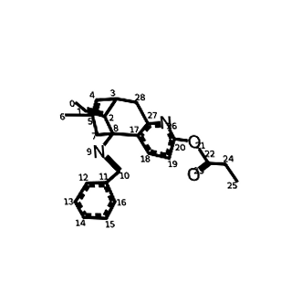 C/C=C1\C2C=C(C)CC1(/N=C/c1ccccc1)c1ccc(OC(=O)CC)nc1C2